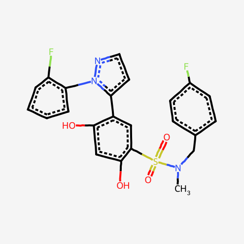 CN(Cc1ccc(F)cc1)S(=O)(=O)c1cc(-c2ccnn2-c2ccccc2F)c(O)cc1O